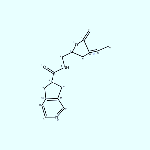 C=C1OC(CNC(=O)N2Cc3ccncc3C2)C/C1=C/C